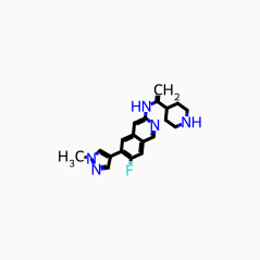 C=C(Nc1cc2cc(-c3cnn(C)c3)c(F)cc2cn1)C1CCNCC1